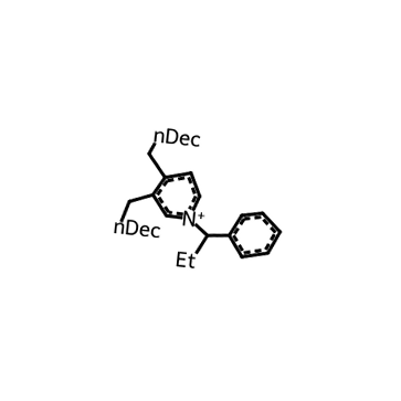 CCCCCCCCCCCc1cc[n+](C(CC)c2ccccc2)cc1CCCCCCCCCCC